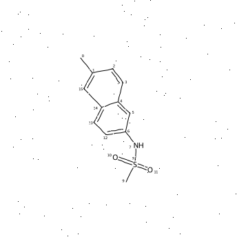 Cc1ccc2cc(NS(C)(=O)=O)ccc2c1